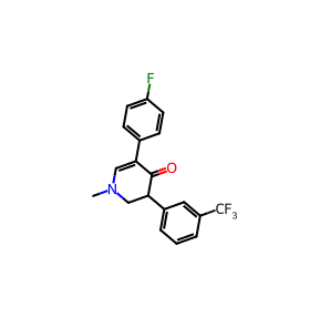 CN1C=C(c2ccc(F)cc2)C(=O)C(c2cccc(C(F)(F)F)c2)C1